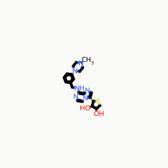 CN1CCN(c2cccc(CNc3nccn4c([C@@H]5SC[C@@H](O)[C@H]5O)cnc34)c2)CC1